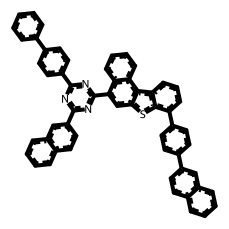 c1ccc(-c2ccc(-c3nc(-c4ccc5ccccc5c4)nc(-c4cc5sc6c(-c7ccc(-c8ccc9ccccc9c8)cc7)cccc6c5c5ccccc45)n3)cc2)cc1